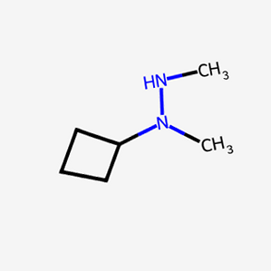 CNN(C)C1CCC1